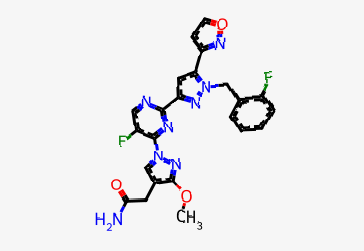 COc1nn(-c2nc(-c3cc(-c4ccon4)n(Cc4ccccc4F)n3)ncc2F)cc1CC(N)=O